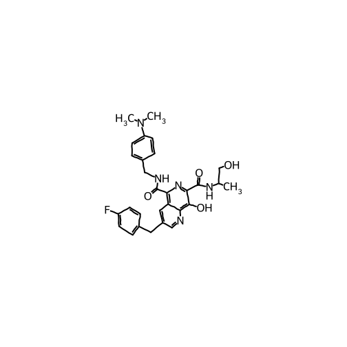 CC(CO)NC(=O)c1nc(C(=O)NCc2ccc(N(C)C)cc2)c2cc(Cc3ccc(F)cc3)cnc2c1O